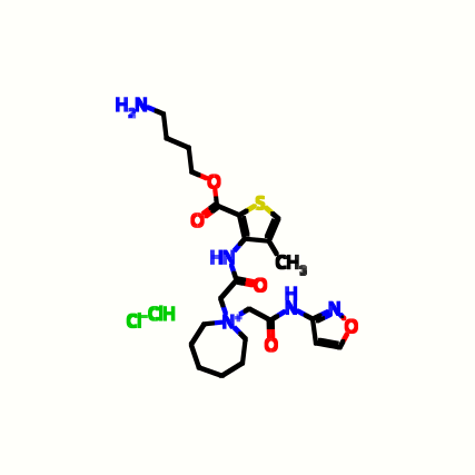 Cc1csc(C(=O)OCCCCN)c1NC(=O)C[N+]1(CC(=O)Nc2ccon2)CCCCCC1.Cl.[Cl-]